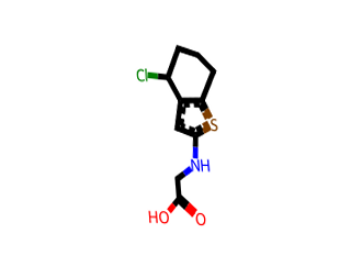 O=C(O)CNc1cc2c(s1)CCCC2Cl